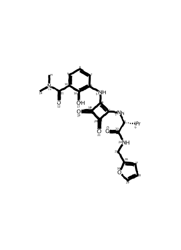 CC(C)[C@@H](Nc1c(Nc2cccc(C(=O)N(C)C)c2O)c(=O)c1=O)C(=O)NCc1ccco1